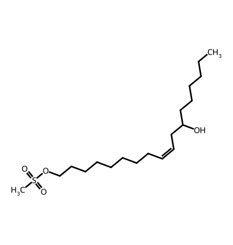 CCCCCCC(O)C/C=C\CCCCCCCCOS(C)(=O)=O